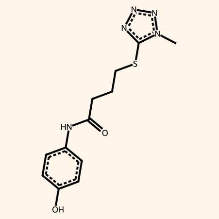 Cn1nnnc1SCCCC(=O)Nc1ccc(O)cc1